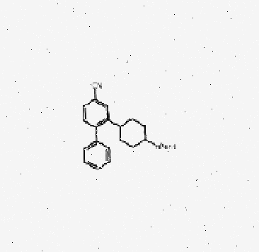 CCCCCC1CCC(c2cc(C#N)ccc2-c2ccccc2)CC1